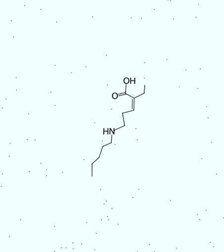 CCCCCNCCC=C(CC)C(=O)O